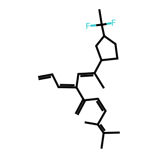 C=C/C=C(\C=C(/C)C1CCC(C(C)(F)F)C1)C(=C)/C=C\C(C)=C(C)C